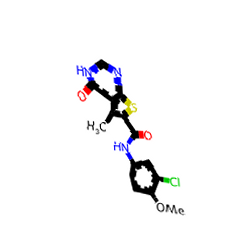 COc1ccc(NC(=O)c2sc3nc[nH]c(=O)c3c2C)cc1Cl